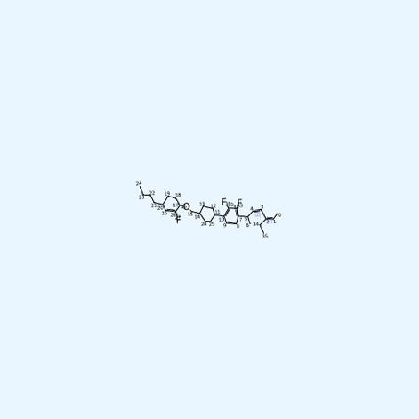 C/C=C(\C=C/C(C)c1ccc(C2CCC(COC3CCC(CCCC)C=C3F)CC2)c(F)c1F)CC